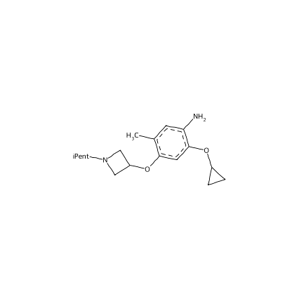 CCCC(C)N1CC(Oc2cc(OC3CC3)c(N)cc2C)C1